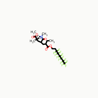 CCC(CC(CC(C)(C)C(=O)OC)C(=O)N(C)C)C(=O)OCCC(F)(F)C(F)(F)C(F)(F)C(F)(F)C(F)(F)C(F)(F)F